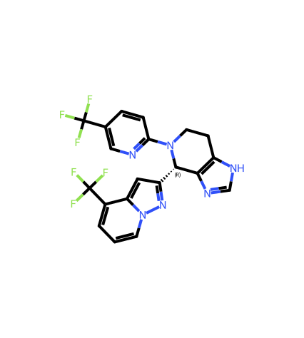 FC(F)(F)c1ccc(N2CCc3[nH]cnc3[C@@H]2c2cc3c(C(F)(F)F)cccn3n2)nc1